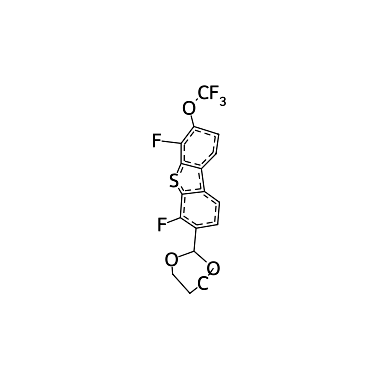 Fc1c(OC(F)(F)F)ccc2c1sc1c(F)c(C3OCCCO3)ccc12